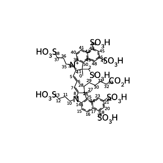 CC1(CS(=O)(=O)O)C(/C=C/C=C2/N(CCCS(=O)(=O)O)c3ccc4c(S(=O)(=O)O)cc(S(=O)(=O)O)cc4c3C2(C)CCCCCC(=O)O)=[N+](CCCS(=O)(=O)O)c2ccc3c(S(=O)(=O)O)cc(S(=O)(=O)O)cc3c21